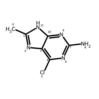 Cc1nc2c(Cl)nc(N)nc2[nH]1